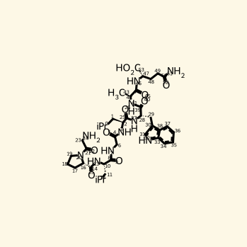 CC(C)C[C@H](NC(=O)CNC(=O)[C@H](CC(C)C)NC(=O)[C@@H]1CCCN1C(=O)CN)C(=O)N[C@@H](Cc1c[nH]c2ccccc12)C(=O)N[C@@H](C)C(=O)N[C@@H](CCC(N)=O)C(=O)O